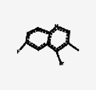 Cc1cnc2ccc(F)cc2c1Br